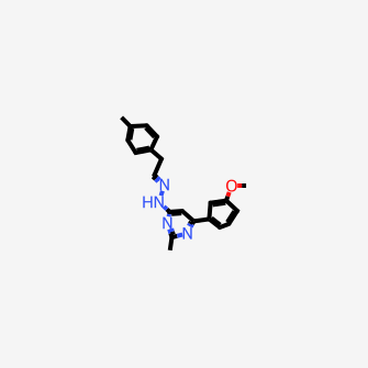 COc1cccc(-c2cc(NN=CCc3ccc(C)cc3)nc(C)n2)c1